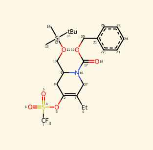 CCC1=C(OS(=O)(=O)C(F)(F)F)CC(CO[Si](C)(C)C(C)(C)C)N(C(=O)OCc2ccccc2)C1